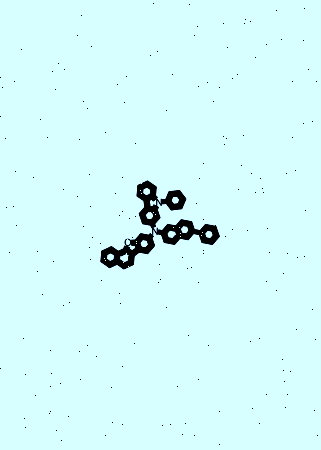 c1ccc(-c2ccc3cc(N(c4ccc5c(c4)oc4c6ccccc6ccc54)c4ccc5c6ccccc6n(-c6ccccc6)c5c4)ccc3c2)cc1